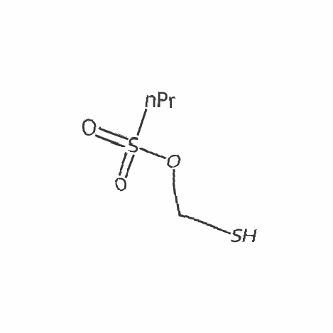 CCCS(=O)(=O)OCS